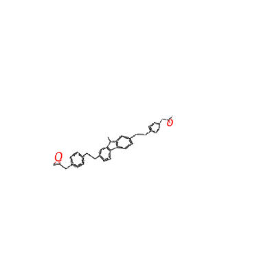 CC1c2cc(CCc3ccc(CC4CO4)cc3)ccc2-c2ccc(CCc3ccc(CC4CO4)cc3)cc21